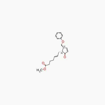 COC(=O)CCCC=CC[C@H]1C(=O)C=C[C@@H]1COc1ccccc1